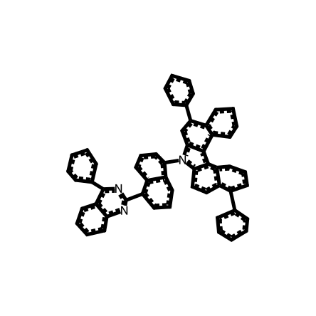 c1ccc(-c2nc(-c3cccc4c(-n5c6ccc7c(-c8ccccc8)cccc7c6c6c7ccccc7c(-c7ccccc7)cc65)cccc34)nc3ccccc23)cc1